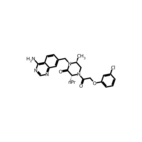 CCC[C@@H]1C(=O)N(Cc2ccc3c(N)ncnc3c2)[C@@H](C)CN1C(=O)COc1cccc(Cl)c1